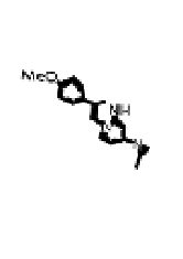 COc1ccc(/C(C)=C/n2ccc(N3CC3C)cc2=N)cc1